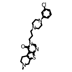 CN1CCc2c(sc3ncn(CCCN4CCN(c5cccc(Cl)c5)CC4)c(=O)c23)C1